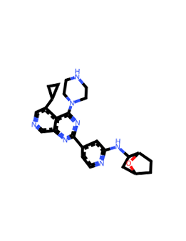 c1cc(-c2nc(N3CCNCC3)c3c(C4CC4)cncc3n2)cc(NC2CC3CCC2O3)n1